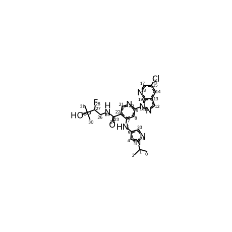 CC(C)n1cc(Nc2cc(-n3ncc4cc(Cl)cnc43)ncc2C(=O)NCC(F)C(C)(C)O)cn1